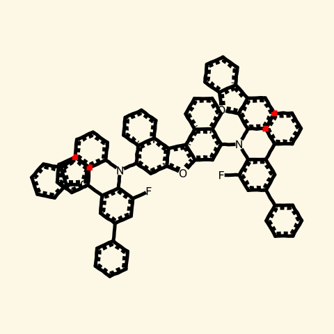 Fc1cc(-c2ccccc2)cc(-c2ccccc2)c1N(c1cc2oc3cc(N(c4c(F)cc(-c5ccccc5)cc4-c4ccccc4)c4cccc5c4oc4ccccc45)c4ccccc4c3c2c2ccccc12)c1cccc2c1oc1ccccc12